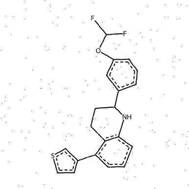 FC(F)Oc1cccc(C2CCc3c(cccc3-c3ccsc3)N2)c1